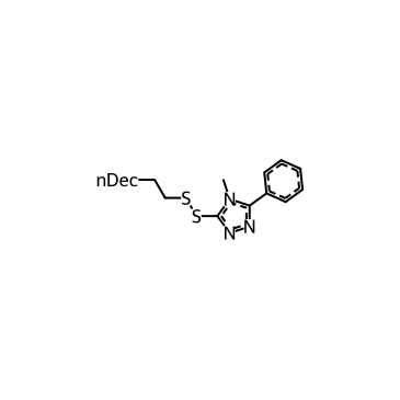 CCCCCCCCCCCCSSc1nnc(-c2ccccc2)n1C